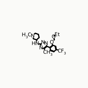 CCOCOc1cc(C(F)(F)F)ccc1-c1nnc(NC2CCCN(C)C2)nc1C